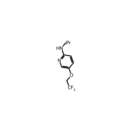 CC(C)Nc1ccc(OCC(F)(F)F)cn1